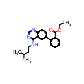 CCOC(=O)c1ccccc1-c1ccc2ncnc(NCCC(C)C)c2c1